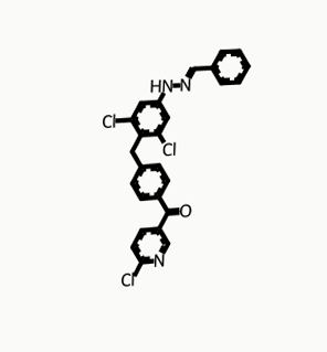 O=C(c1ccc(Cc2c(Cl)cc(N/N=C/c3ccccc3)cc2Cl)cc1)c1ccc(Cl)nc1